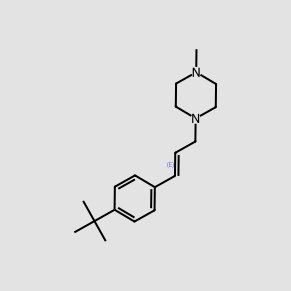 CN1CCN(C/C=C/c2ccc(C(C)(C)C)cc2)CC1